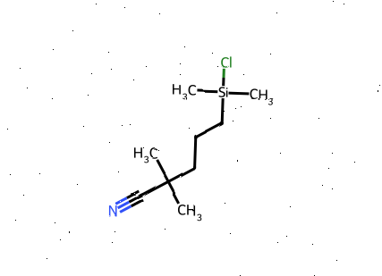 CC(C)(C#N)CCC[Si](C)(C)Cl